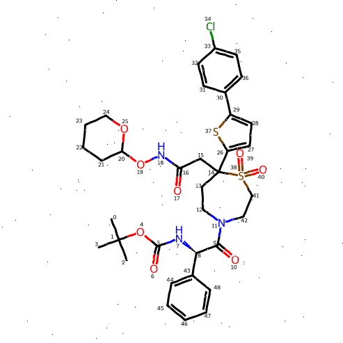 CC(C)(C)OC(=O)N[C@@H](C(=O)N1CCC(CC(=O)NOC2CCCCO2)(c2ccc(-c3ccc(Cl)cc3)s2)S(=O)(=O)CC1)c1ccccc1